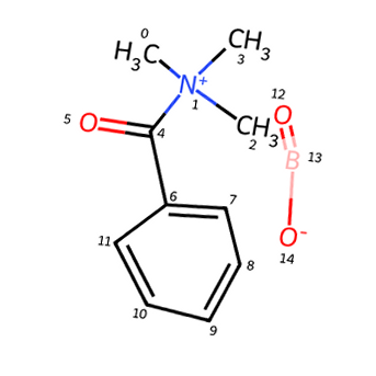 C[N+](C)(C)C(=O)c1ccccc1.O=B[O-]